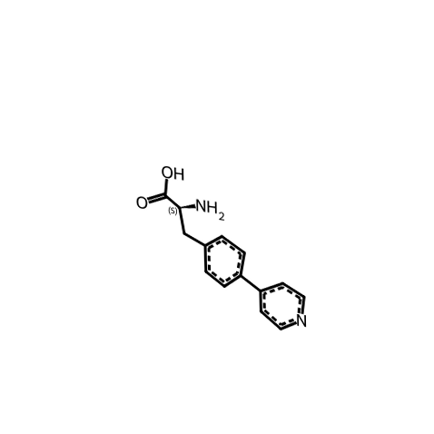 N[C@@H](Cc1ccc(-c2ccncc2)cc1)C(=O)O